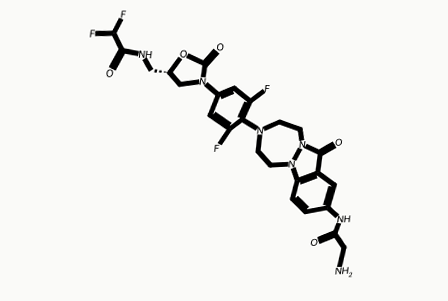 NCC(=O)Nc1ccc2c(c1)c(=O)n1n2CCN(c2c(F)cc(N3C[C@H](CNC(=O)C(F)F)OC3=O)cc2F)CC1